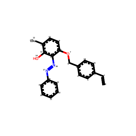 C=Cc1ccc(COc2ccc(C(C)(C)C)c(O)c2N=Nc2ccccc2)cc1